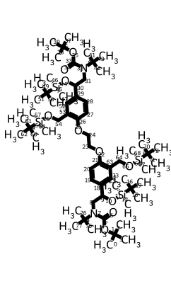 CC(C)(C)OC(=O)N(CC(O[Si](C)(C)C(C)(C)C)c1ccc(OCCOc2ccc(C(CN(C(=O)OC(C)(C)C)C(C)(C)C)O[Si](C)(C)C(C)(C)C)cc2CO[Si](C)(C)C(C)(C)C)c(CO[Si](C)(C)C(C)(C)C)c1)C(C)(C)C